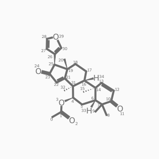 CC(=O)O[C@@H]1C[C@H]2C(C)(C)C(=O)C=C[C@]2(C)[C@H]2CC[C@]3(C)C(=CC(=O)[C@H]3c3ccoc3)[C@@]21C